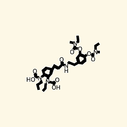 CCCN(C(=O)O)c1ccc(/C=C/C(=O)NCCc2ccc(OC(=O)N(C)CC)c(OC(=O)N(C)CC)c2)cc1N(CCC)C(=O)O